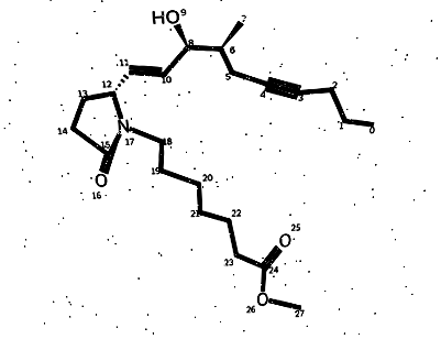 CCCC#CC[C@H](C)[C@H](O)C=C[C@H]1CCC(=O)N1CCCCCCC(=O)OC